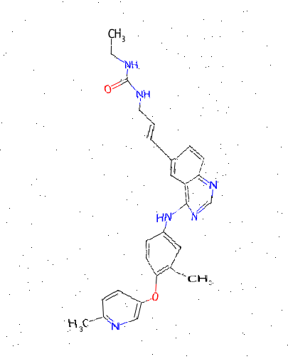 CCNC(=O)NC/C=C/c1ccc2ncnc(Nc3ccc(Oc4ccc(C)nc4)c(C)c3)c2c1